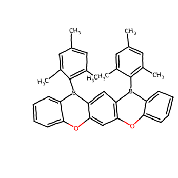 Cc1cc(C)c(B2c3ccccc3Oc3cc4c(cc32)B(c2c(C)cc(C)cc2C)c2ccccc2O4)c(C)c1